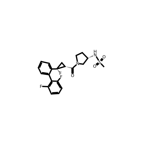 CS(=O)(=O)N[C@H]1CCN(C(=O)[C@H]2C[C@]2(F)c2ccccc2-c2c(F)cccc2F)C1